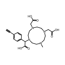 C#Cc1ccc(C(C(=O)O)N2CCN(C)CCN(CC(=O)O)CCN(CC(=O)O)CC2)cc1